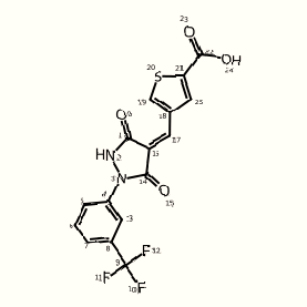 O=C1NN(c2cccc(C(F)(F)F)c2)C(=O)/C1=C/c1csc(C(=O)O)c1